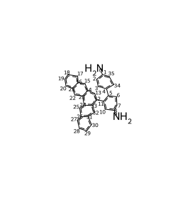 Nc1ccc(-c2ccc(N)cc2-c2cc3cc4ccccc4cc3c3cc4ccccc4cc23)cc1